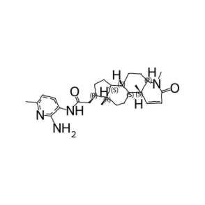 Cc1ccc(NC(=O)C[C@H]2CC[C@H]3[C@@H]4CC[C@H]5N(C)C(=O)C=C[C@]5(C)[C@H]4CC[C@]23C)c(N)n1